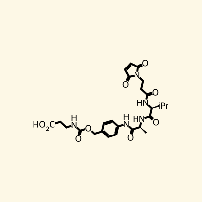 CC(C)[C@H](NC(=O)CCN1C(=O)C=CC1=O)C(=O)N[C@@H](C)C(=O)Nc1ccc(COC(=O)NCCC(=O)O)cc1